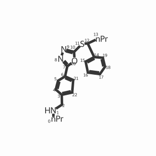 [CH2]CCNCc1ccc(-c2nnc(SC(CCC)c3ccccc3)o2)cc1